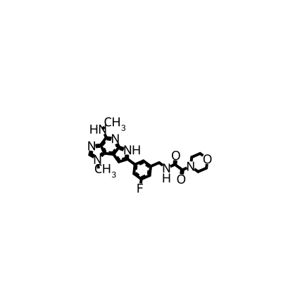 CNc1nc2[nH]c(-c3cc(F)cc(CNC(=O)C(=O)N4CCOCC4)c3)cc2c2c1ncn2C